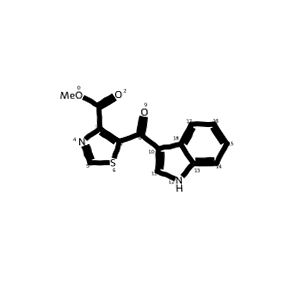 COC(=O)c1ncsc1C(=O)c1c[nH]c2ccccc12